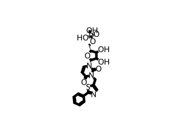 O=c1ccn([C@@H]2O[C@H](COP(=O)(O)O)C(O)C2O)c(=O)n1Cc1cnc(-c2ccccc2)s1